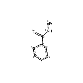 CCCNC(=O)c1[c]cccc1